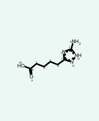 Nc1nc(CCCCC(=O)O)n[nH]1